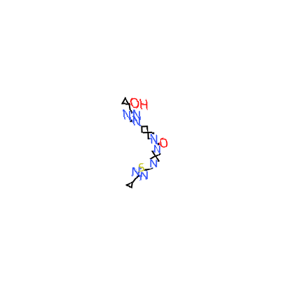 O=C(N1CC2(CC(n3cnc(C4(O)CC4)n3)C2)C1)N1CC2(CN(Cc3nc(C4CC4)ns3)C2)C1